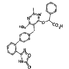 CCCCc1nc(C)nc(OC(C(=O)O)c2ccccc2)c1Cc1ccc(-c2ccccc2-c2noc(=O)[nH]2)cc1